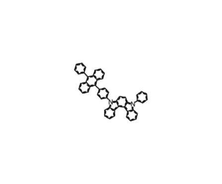 c1ccc(-c2c3ccccc3c(-c3ccc(-n4c5ccccc5c5c6c7ccccc7n(-c7ccccc7)c6ccc54)cc3)c3ccccc23)cc1